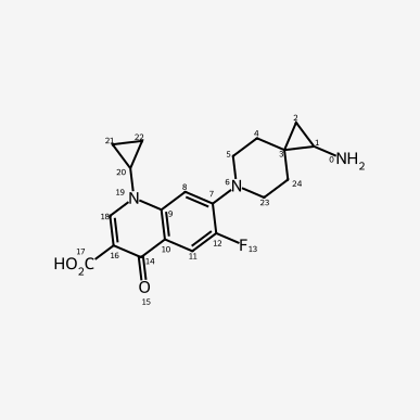 NC1CC12CCN(c1cc3c(cc1F)c(=O)c(C(=O)O)cn3C1CC1)CC2